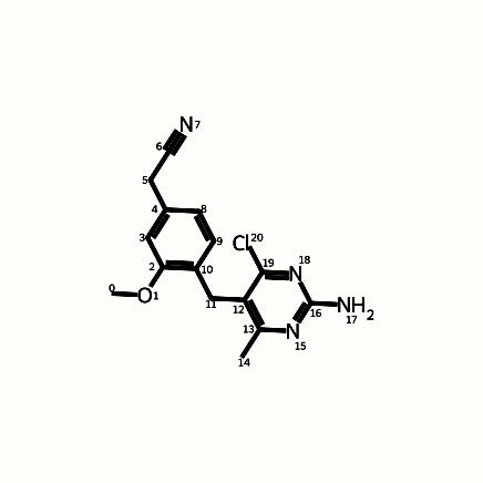 COc1cc(CC#N)ccc1Cc1c(C)nc(N)nc1Cl